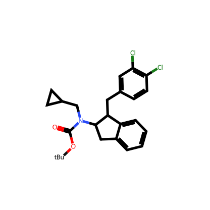 CC(C)(C)OC(=O)N(CC1CC1)C1Cc2ccccc2C1Cc1ccc(Cl)c(Cl)c1